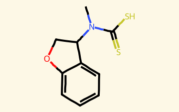 CN(C(=S)S)C1COc2ccccc21